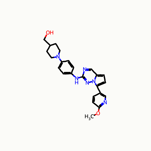 COc1ccc(-c2ccc3cnc(Nc4ccc(N5CCC(CO)CC5)cc4)nn23)cn1